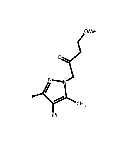 COCCC(=O)Cn1nc(I)c(C(C)C)c1C